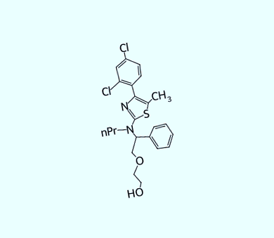 CCCN(c1nc(-c2ccc(Cl)cc2Cl)c(C)s1)C(COCCO)c1ccccc1